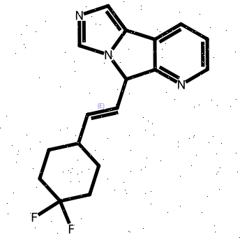 FC1(F)CCC(/C=C/C2c3ncccc3-c3cncn32)CC1